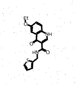 CCOc1ccc2[nH]cc(C(=O)NCc3cccs3)c(=O)c2c1